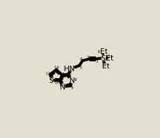 CC[Si](C#CCCNc1ncnc2sccc12)(CC)CC